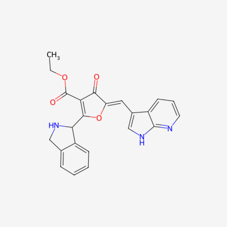 CCOC(=O)C1=C(C2NCc3ccccc32)OC(=Cc2c[nH]c3ncccc23)C1=O